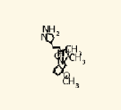 COc1cccc2[nH]c(C(C)N(C)C(=O)C=Cc3ccc(N)nc3)cc12